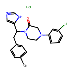 Cl.N#Cc1ccc(CC(c2cnc[nH]2)N2CCN(c3cccc(Cl)c3)CC2=O)cc1